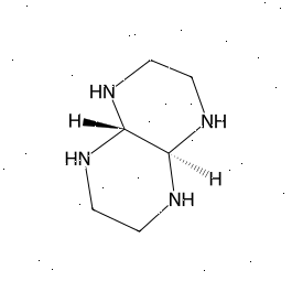 C1CN[C@H]2NCCN[C@@H]2N1